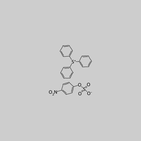 O=[N+]([O-])c1ccc(OS(=O)(=O)[O-])cc1.c1ccc([S+](c2ccccc2)c2ccccc2)cc1